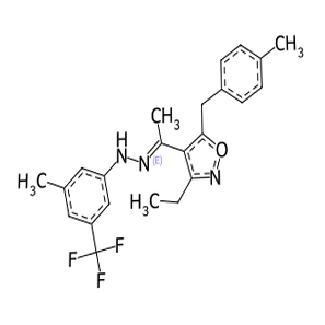 CCc1noc(Cc2ccc(C)cc2)c1/C(C)=N/Nc1cc(C)cc(C(F)(F)F)c1